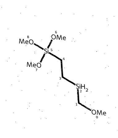 COC[SiH2]CC[Si](OC)(OC)OC